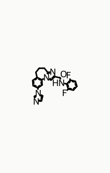 O=C(Nc1c(F)cccc1F)c1cn2c(n1)CCCc1ccc(-n3ccnc3)cc1-2